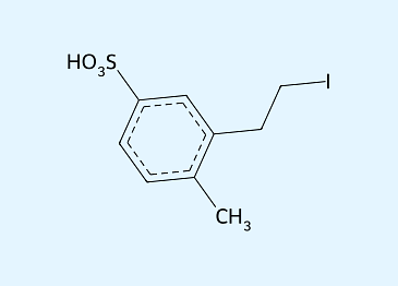 Cc1ccc(S(=O)(=O)O)cc1CCI